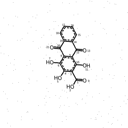 O=C(O)c1c(O)c(O)c2c(c1O)C(=O)c1ccccc1C2=O